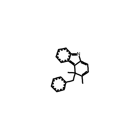 CC1=CC=C2N=c3ccccc3=C2C1(C)Cc1ccccc1